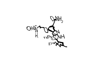 CCCn1c(NC(=O)c2cc(C)nn2CC)nc2cc(C(N)=O)cc(OCCCNC=O)c21